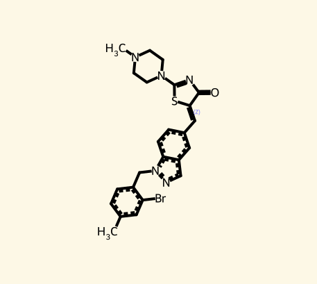 Cc1ccc(Cn2ncc3cc(/C=C4\SC(N5CCN(C)CC5)=NC4=O)ccc32)c(Br)c1